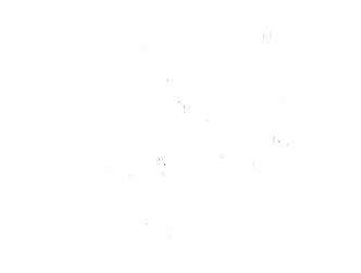 COc1cncc(CNc2ccccc2C)c1N(O)C(C)=O